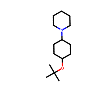 CC(C)(C)OC1CCC(N2CCCCC2)CC1